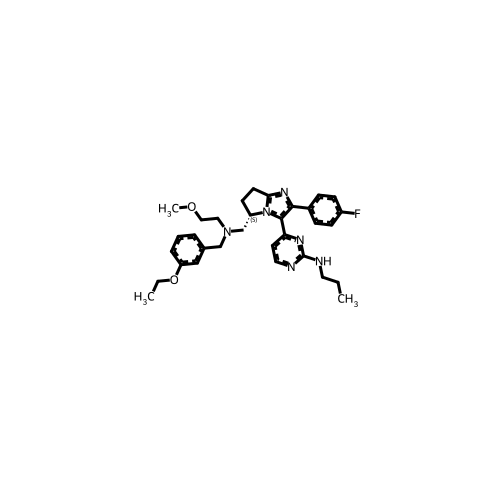 CCCNc1nccc(-c2c(-c3ccc(F)cc3)nc3n2[C@H](CN(CCOC)Cc2cccc(OCC)c2)CC3)n1